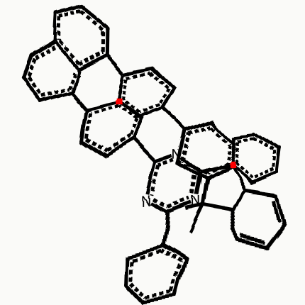 CC1(C)c2cc(-c3ccc(-c4cccc5cccc(-c6ccc(-c7nc(-c8ccccc8)nc(-c8ccccc8)n7)cc6)c45)cc3)ccc2C2C=CC=CC21